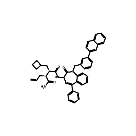 C=CC[C@H](C(N)=O)[C@@H](CC1CCC1)C(=O)NC1N=C(c2ccccc2)c2ccccc2N(Cc2cccc(-c3ccc4ccccc4c3)c2)C1=O